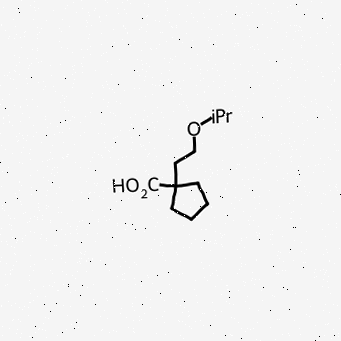 CC(C)OCCC1(C(=O)O)CCCC1